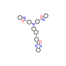 c1ccc2nc3c(nc2c1)oc1cc(-c2ccc4cc(N(c5ccc(-c6nc7ccccc7o6)cc5)c5ccc(-c6nc7ccccc7o6)cc5)ccc4c2)ccc13